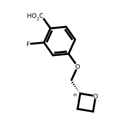 O=C(O)c1ccc(OC[C@H]2CCO2)cc1F